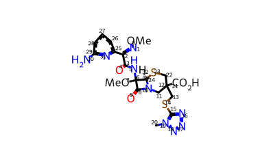 CON=C(C(=O)NC1(OC)C(=O)N2CC(CSc3nnnn3C)(C(=O)O)CS[C@@H]21)c1cccc(N)n1